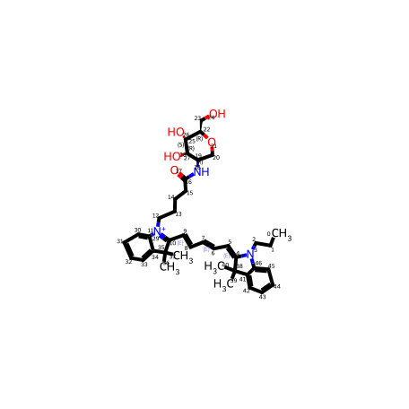 CCCN1/C(=C/C=C/C=C/C2=[N+](CCCCC(=O)N[C@@H]3CO[C@H](CO)[C@@H](O)[C@@H]3O)c3ccccc3C2(C)C)C(C)(C)c2ccccc21